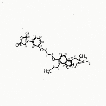 CCCc1c(OCCCOc2cccc(N3CC(=O)SC3=O)c2)ccc2c(CC(C)(C)C)coc12